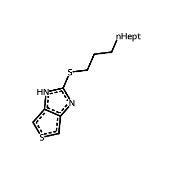 CCCCCCCCCCSc1nc2cscc2[nH]1